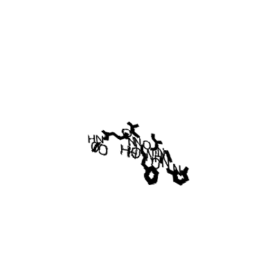 CCC(C)C(C(=O)NC(Cc1ccccc1)C(O)CN(CCC(C)C)NC(=O)CCC(C)CNC(=O)OC)N1CCN(Cc2cccc(C)n2)C1=O